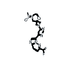 C[S+]([O-])N1CCOC2(CN(c3cc(-c4cnc5ccc(C(F)F)nn45)ncn3)C2)C1